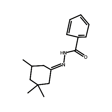 CC1C/C(=N\NC(=O)c2ccccc2)CC(C)(C)C1